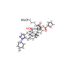 COCCCSC(=O)[C@@]1(OC(=O)c2ccco2)CC[C@H]2[C@@H]3CCC4=Cc5c(cnn5-c5ccc(F)cc5)C[C@]4(C)[C@H]3[C@@H](O)C[C@@]21C